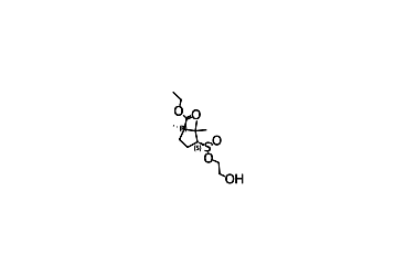 CCOC(=O)[C@]1(C)CC[C@H](S(=O)OCCO)C1(C)C